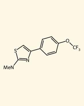 CNc1nc(-c2ccc(OC(F)(F)F)cc2)cs1